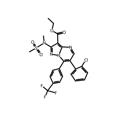 CCOC(=O)c1c(N(C)S(C)(=O)=O)nn2c(-c3ccc(C(F)(F)F)cc3)c(-c3ccccc3Cl)cnc12